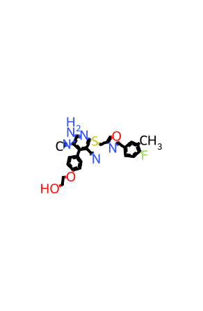 [C-]#[N+]c1c(N)nc(SCc2coc(-c3ccc(F)c(C)c3)n2)c(C#N)c1-c1ccc(OCCO)cc1